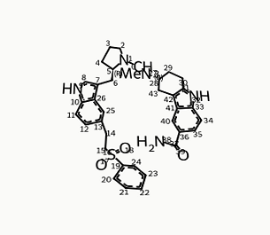 CN1CCC[C@@H]1Cc1c[nH]c2ccc(CCS(=O)(=O)c3ccccc3)cc12.CN[C@@H]1CCc2[nH]c3ccc(C(N)=O)cc3c2C1